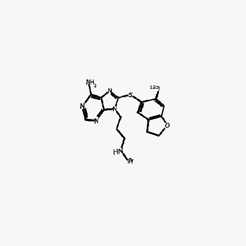 CC(C)NCCCn1c(Sc2cc3c(cc2[123I])OCC3)nc2c(N)ncnc21